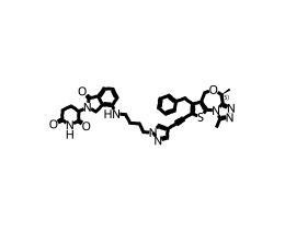 Cc1nnc2n1-c1sc(C#Cc3cnn(CCCCNc4cccc5c4CN(C4CCC(=O)NC4=O)C5=O)c3)c(Cc3ccccc3)c1CO[C@H]2C